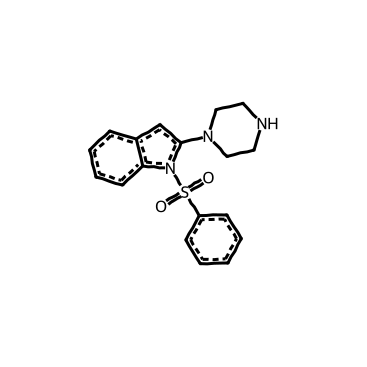 O=S(=O)(c1ccccc1)n1c(N2CCNCC2)cc2ccccc21